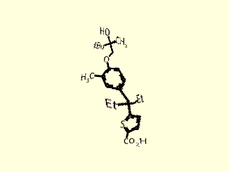 CCC(CC)(c1ccc(OCC(C)(O)C(C)(C)C)c(C)c1)c1ccc(C(=O)O)s1